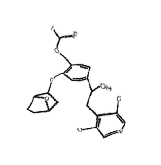 OC(Cc1c(Cl)cncc1Cl)c1ccc(OC(F)F)c(OC2CC3CCC2O3)c1